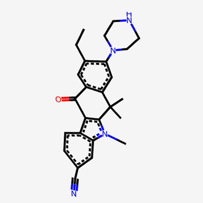 CCc1cc2c(cc1N1CCNCC1)C(C)(C)c1c(c3ccc(C#N)cc3n1C)C2=O